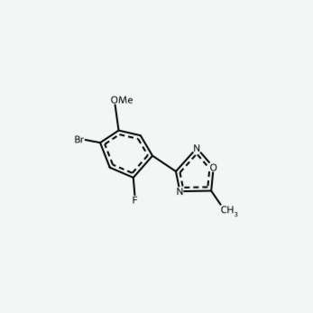 COc1cc(-c2noc(C)n2)c(F)cc1Br